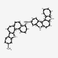 Cc1ccc2c(c1)oc1c2ccc2ccc3c(Nc4ccc5c(c4)oc4ccc6oc7ccccc7c6c45)cccc3c21